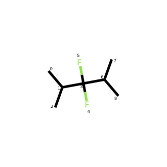 CC(C)C(F)(F)C(C)C